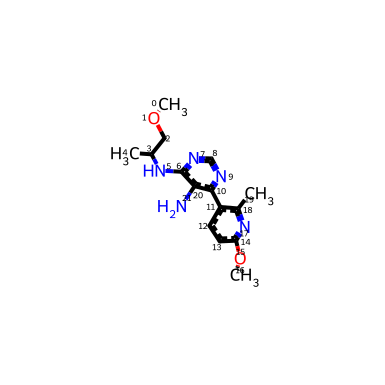 COCC(C)Nc1ncnc(-c2ccc(OC)nc2C)c1N